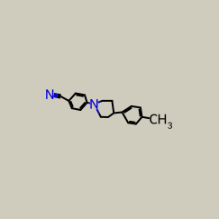 Cc1ccc(C2CCN(c3ccc(C#N)cc3)CC2)cc1